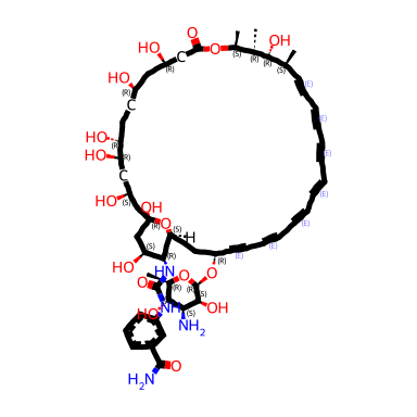 C[C@@H]1[C@H](O)[C@@H](C)/C=C/C=C/C=C/C=C/C=C/C=C/C=C/[C@H](O[C@@H]2O[C@H](C)[C@@H](O)[C@H](N)[C@@H]2O)C[C@@H]2O[C@](O)(C[C@@H](O)C[C@@H](O)[C@H](O)CC[C@@H](O)C[C@@H](O)CC(=O)O[C@H]1C)C[C@H](O)[C@H]2NC(=O)Nc1cccc(C(N)=O)c1